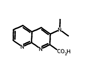 CN(C)c1cc2cccnc2nc1C(=O)O